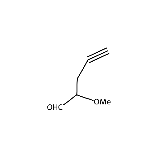 C#CCC(C=O)OC